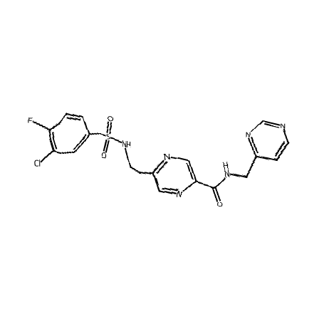 O=C(NCc1ccncn1)c1cnc(CNS(=O)(=O)c2ccc(F)c(Cl)c2)cn1